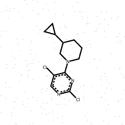 Clc1ncc(Cl)c(N2CCCC(C3CC3)C2)n1